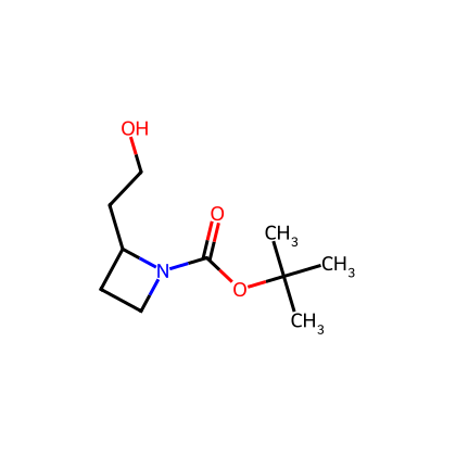 CC(C)(C)OC(=O)N1CCC1CCO